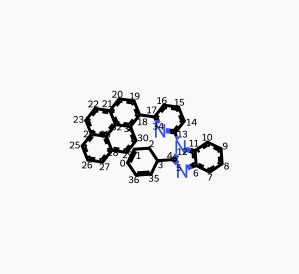 C1=CCC(c2nc3ccccc3n2-c2cccc(-c3ccc4ccc5cccc6ccc3c4c56)n2)C=C1